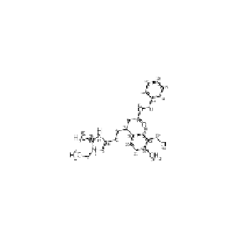 CCN1C=C(CCC(CC(=O)OCc2ccccc2)c2ccc(C)c(CCl)c2)NN1C